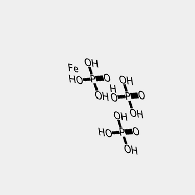 O=P(O)(O)O.O=P(O)(O)O.O=P(O)(O)O.[Fe]